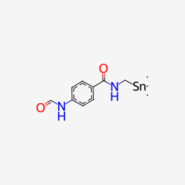 O=CNc1ccc(C(=O)N[CH2][Sn])cc1